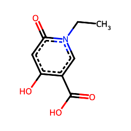 CCn1cc(C(=O)O)c(O)cc1=O